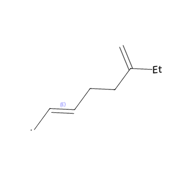 [CH2]/C=C/CCC(=C)CC